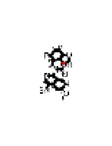 COc1cc2c(Br)cnc(N(Cc3c(F)ccc4c3CCO4)C(=O)O)c2cn1